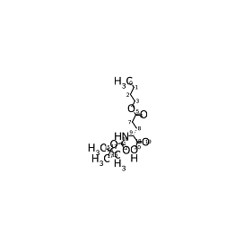 CCCCOC(=O)CC[C@@H](NC(=O)OC(C)(C)C)C(=O)O